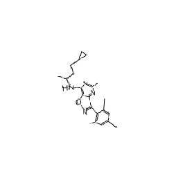 Cc1cc(C)c(-c2noc3c(NC(C)CCC4CC4)nc(C)nc23)c(C)c1